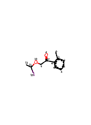 Cc1ccccc1C(=O)COC(C)I